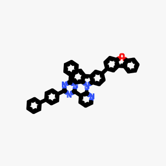 c1ccc(-c2ccc(-c3nc(-c4ccccc4)nc(-c4cccnc4-n4c5ccccc5c5cc(-c6ccc7oc8ccccc8c7c6)ccc54)n3)cc2)cc1